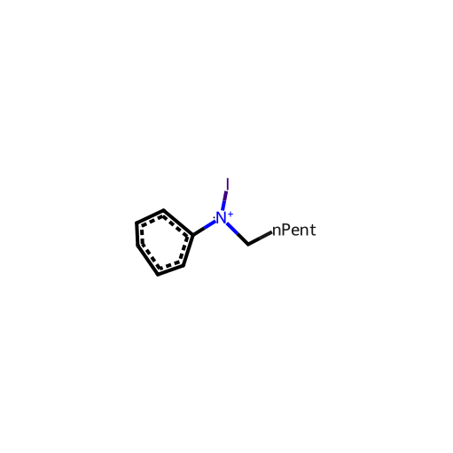 CCCCCC[N+](I)c1ccccc1